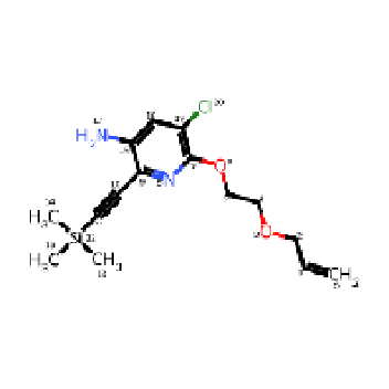 C=CCOCCOc1nc(C#C[Si](C)(C)C)c(N)cc1Cl